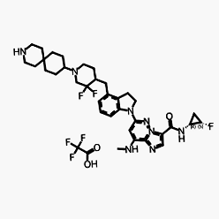 CNc1cc(N2CCc3c(CC4CCN(C5CCC6(CCNCC6)CC5)CC4(F)F)cccc32)nn2c(C(=O)N[C@@H]3C[C@@H]3F)cnc12.O=C(O)C(F)(F)F